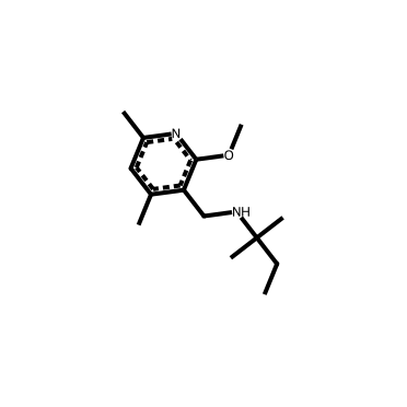 CCC(C)(C)NCc1c(C)cc(C)nc1OC